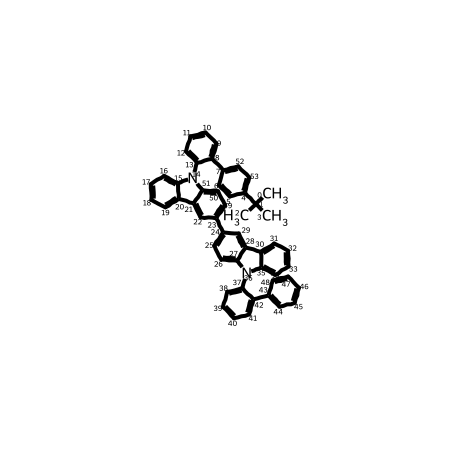 CC(C)(C)c1ccc(-c2ccccc2-n2c3ccccc3c3cc(-c4ccc5c(c4)c4ccccc4n5-c4ccccc4-c4ccccc4)ccc32)cc1